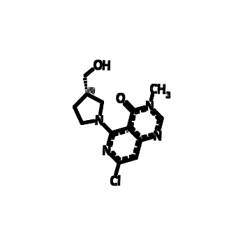 Cn1cnc2cc(Cl)nc(N3CC[C@H](CO)C3)c2c1=O